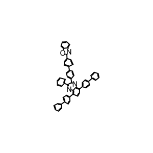 c1ccc(-c2ccc(-c3ccc(-c4ccc(-c5ccccc5)cc4)c4nc(-c5ccc(-c6ccc(-c7nc8ccccc8o7)cc6)cc5)c(-c5ccccc5)nc34)cc2)cc1